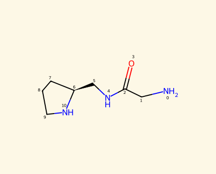 NCC(=O)NC[C@@H]1CCCN1